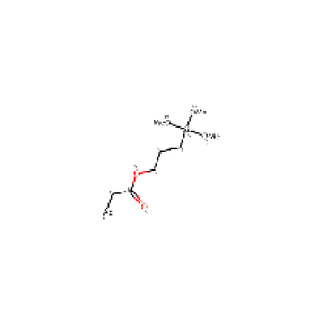 CO[Si](CCCOC(=O)CC(C)=O)(OC)OC